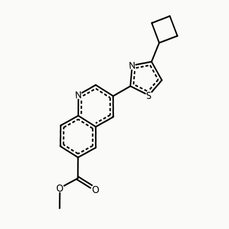 COC(=O)c1ccc2ncc(-c3nc(C4CCC4)cs3)cc2c1